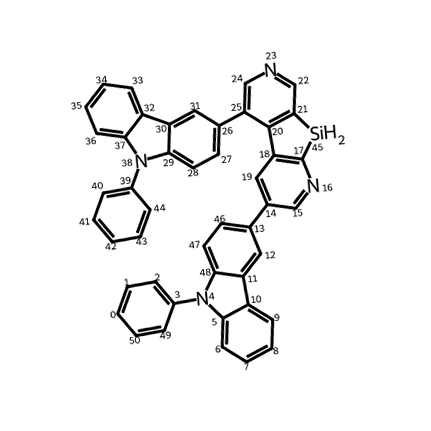 c1ccc(-n2c3ccccc3c3cc(-c4cnc5c(c4)-c4c(cncc4-c4ccc6c(c4)c4ccccc4n6-c4ccccc4)[SiH2]5)ccc32)cc1